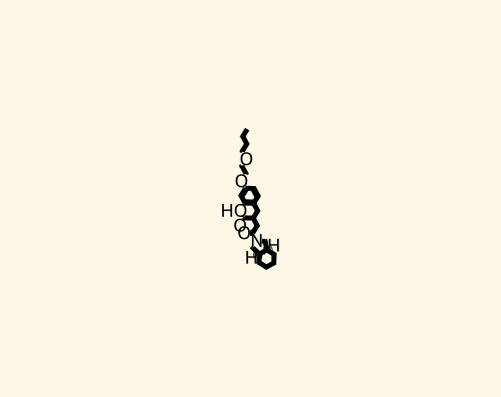 CCCCOCCOc1ccc(CC(CC(=O)N2C[C@H]3CCCC[C@H]3C2)C(=O)O)cc1